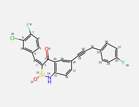 O=C1/C(=C\c2ccc(F)c(Cl)c2)[S+]([O-])Nc2ccc(C#CCc3ccc(F)cc3)cc21